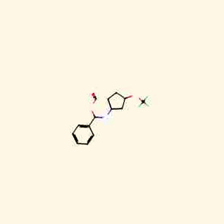 O=COC(NC1CCC(OC(F)(F)F)C1)c1ccccc1